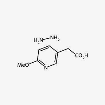 COc1ccc(CC(=O)O)cn1.NN